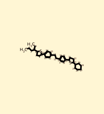 CCCC(CC)C1CCC(c2ccc(CCc3ccc(C4CCC(C5CCCCC5)S4)cc3)cc2)S1